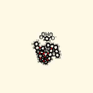 O=C([O-])c1cccc(C(=O)O)c1.c1ccc2cc3c(ccc4cc5cccc([P+](c6cccc7cc8ccc9cc%10ccccc%10cc9c8cc67)(c6cccc7cc8ccc9cc%10ccccc%10cc9c8cc67)c6cccc7cc8ccc9cc%10ccccc%10cc9c8cc67)c5cc43)cc2c1